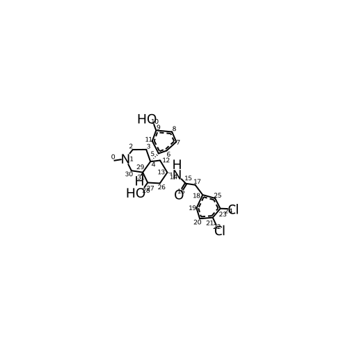 CN1CC[C@@]2(c3cccc(O)c3)C[C@H](NC(=O)Cc3ccc(Cl)c(Cl)c3)CC(O)[C@@H]2C1